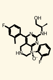 Cc1cc(F)ccc1-c1nc(N[C@H](C)CO)nc2c1CNC[N+]2([O-])c1ccccc1F